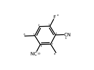 Cc1cc(F)c(C#N)c(C)c1C#N